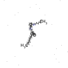 CCCCCC/C=C/[C@H]1CCC[C@@H]1C/C=C\CCCC(C=O)OCC=CCCCCCCC